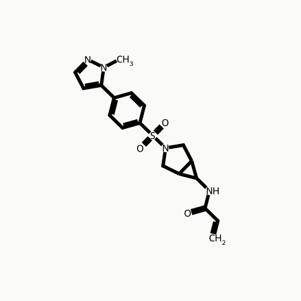 C=CC(=O)NC1C2CN(S(=O)(=O)c3ccc(-c4ccnn4C)cc3)CC21